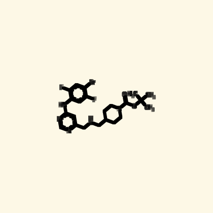 CC(C)(C)OC(=O)N1CCC(CNCc2cc(Nc3cc(F)c(Br)cc3F)ncn2)CC1